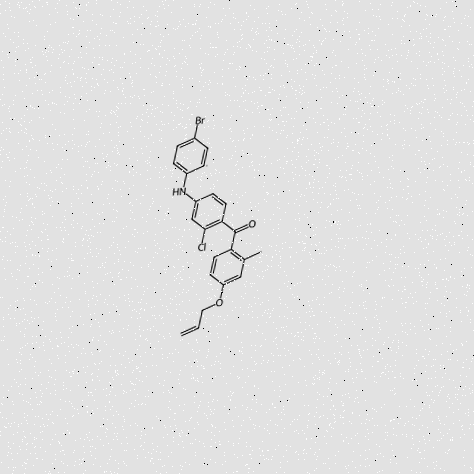 C=CCOc1ccc(C(=O)c2ccc(Nc3[c]cc(Br)cc3)cc2Cl)c(C)c1